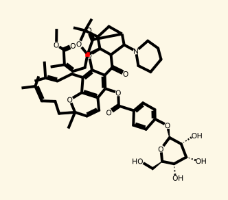 COC(=O)/C(C)=C\CC12OC(C)(C)C3CC(C1=O)C(N1CCCCC1)C1C(=O)c4c(OC(=O)c5ccc(O[C@@H]6O[C@H](CO)[C@@H](O)[C@@H](O)[C@H]6O)cc5)c5c(c(CC=C(C)C)c4OC132)OC(C)(CCC=C(C)C)C=C5